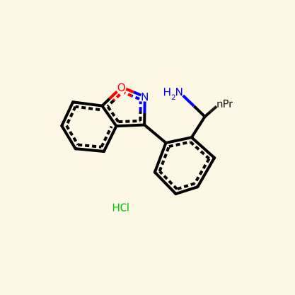 CCCC(N)c1ccccc1-c1noc2ccccc12.Cl